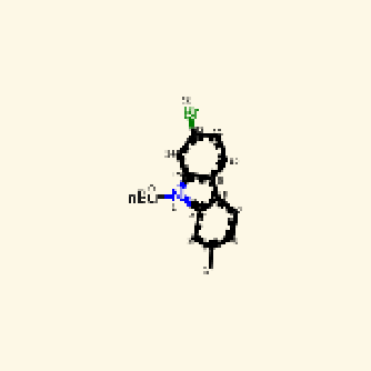 CCCCn1c2cc(C)ccc2c2ccc(Br)cc21